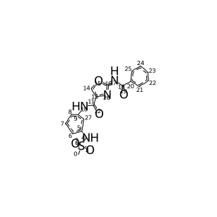 CS(=O)(=O)Nc1cccc(NC(=O)c2coc(NC(=O)c3ccccc3)n2)c1